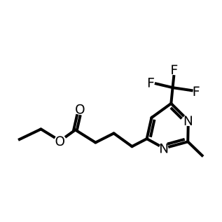 CCOC(=O)CCCc1cc(C(F)(F)F)nc(C)n1